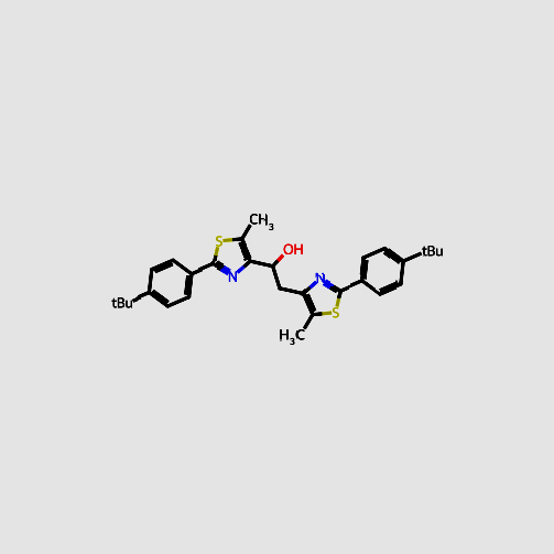 Cc1sc(-c2ccc(C(C)(C)C)cc2)nc1CC(O)c1nc(-c2ccc(C(C)(C)C)cc2)sc1C